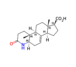 C[C@]12CCC(=O)N[C@@H]1CC=C1[C@@H]2CC[C@]2(C)[C@@H](C(=O)O)CC[C@@H]12